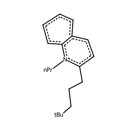 CCC[n+]1c(CCCC(C)(C)C)ccc2ccccc21